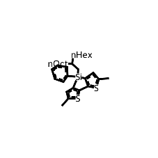 CCCCCCCCC(CCCCCC)C[Si]1(c2ccccc2)c2cc(C)sc2-c2sc(C)cc21